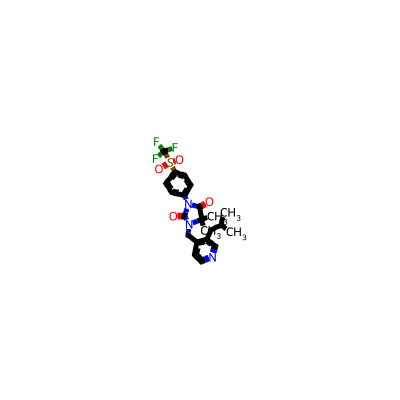 CC(C)Cc1cnccc1CN1C(=O)N(c2ccc(S(=O)(=O)C(F)(F)F)cc2)C(=O)C1(C)C